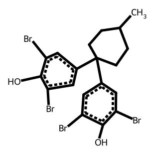 CC1CCC(c2cc(Br)c(O)c(Br)c2)(c2cc(Br)c(O)c(Br)c2)CC1